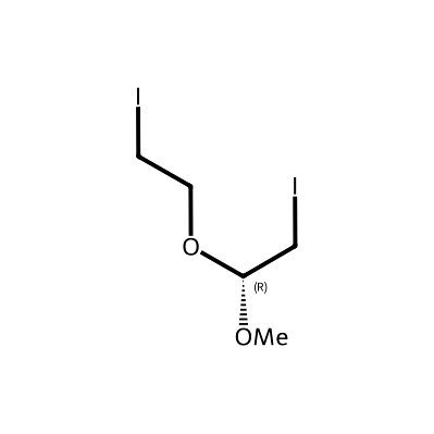 CO[C@@H](CI)OCCI